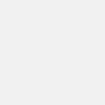 COCC(=O)Nc1ccc(-c2ncc(C(=O)n3ccnc3)c(O)n2)cc1